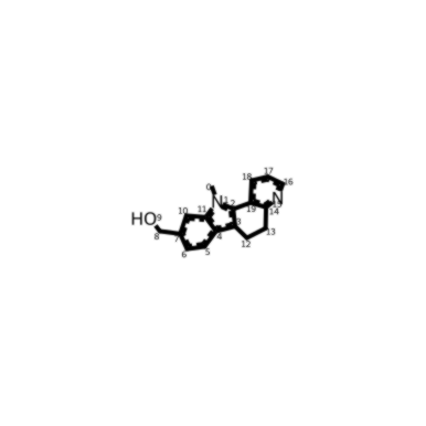 Cn1c2c(c3ccc(CO)cc31)CCc1ncccc1-2